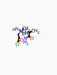 C=C(C)C(N)=O.CCC[N+](C)(C)CC1CO1.[Cl-]